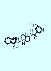 Cc1cncc(C(=O)N[C@H]2CC[C@@H]3[C@H]2CCN3Cc2[nH]c3ccccc3c2C)c1